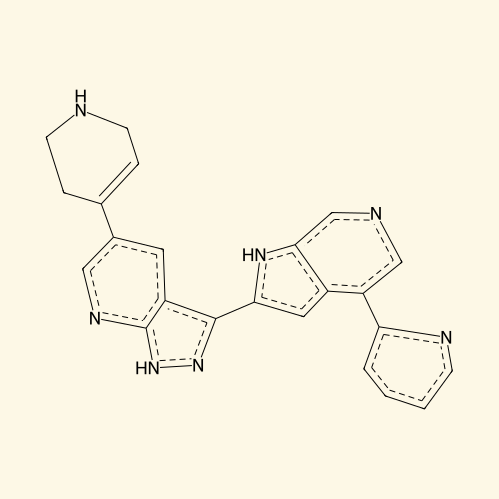 C1=C(c2cnc3[nH]nc(-c4cc5c(-c6ccccn6)cncc5[nH]4)c3c2)CCNC1